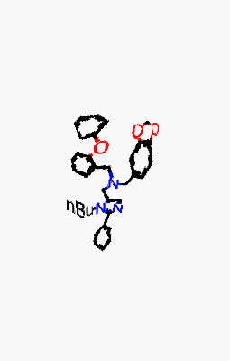 CCCCn1c(CN(Cc2ccc3c(c2)OCO3)Cc2ccccc2Oc2ccccc2)cnc1-c1ccccc1